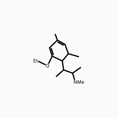 CCOC1=CC(C)=CC(C)C1C(C)C(C)NC